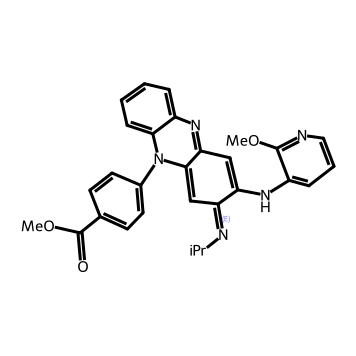 COC(=O)c1ccc(-n2c3c/c(=N\C(C)C)c(Nc4cccnc4OC)cc-3nc3ccccc32)cc1